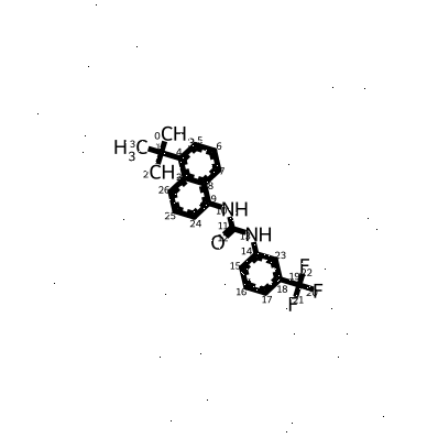 CC(C)(C)c1cccc2c(NC(=O)Nc3cccc(C(F)(F)F)c3)cccc12